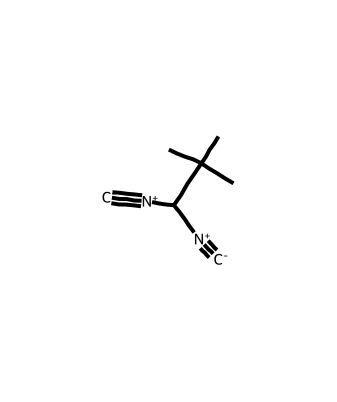 [C-]#[N+]C([N+]#[C-])C(C)(C)C